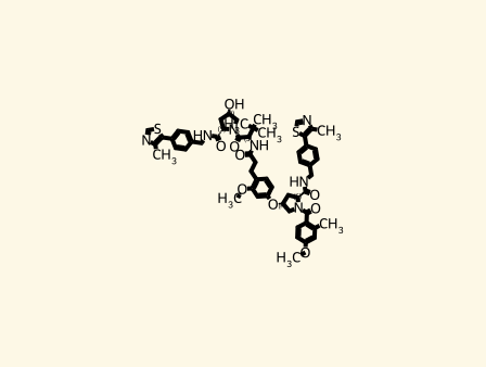 COc1ccc(C(=O)N2C[C@H](Oc3ccc(CCC(=O)N[C@H](C(=O)N4C[C@H](O)C[C@H]4C(=O)NCc4ccc(-c5scnc5C)cc4)C(C)(C)C)c(OC)c3)C[C@H]2C(=O)NCc2ccc(-c3scnc3C)cc2)c(C)c1